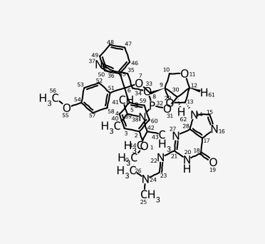 COc1ccc(C(OC[C@]23CO[C@H]([C@H](n4cnc5c(=O)[nH]c(N=CN(C)C)nc54)O2)[C@H]3OP(OCCC#N)N(C(C)C)C(C)C)(c2ccccc2)c2ccc(OC)cc2)cc1